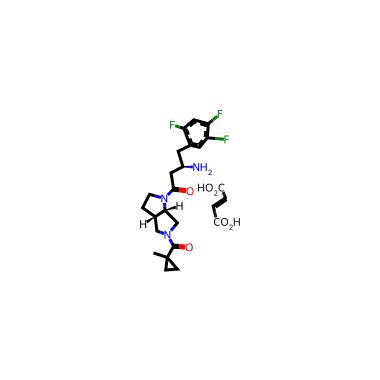 CC1(C(=O)N2C[C@@H]3CCN(C(=O)C[C@H](N)Cc4cc(F)c(F)cc4F)[C@@H]3C2)CC1.O=C(O)C=CC(=O)O